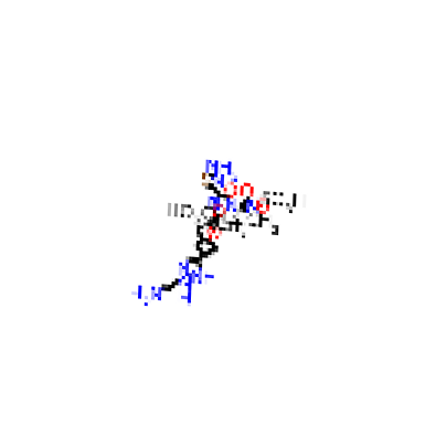 CC1(C)[C@H](NC(=O)/C(=N\O[C@](C)(C(=O)O)[C@H]2CCc3cc(C4=CN=C(NCCCN)NC4)ccc3O2)c2csc(N)n2)C(=O)N1OS(=O)(=O)O